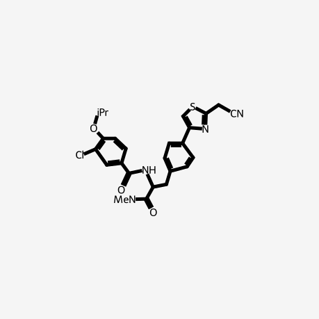 CNC(=O)C(Cc1ccc(-c2csc(CC#N)n2)cc1)NC(=O)c1ccc(OC(C)C)c(Cl)c1